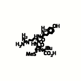 CC[C@H](C)[C@H](NC(=O)[C@H](CCSC)NC(=O)[C@H](CCCN=C(N)N)NC(=O)[C@@H](N)Cc1ccc(O)cc1)C(=O)O